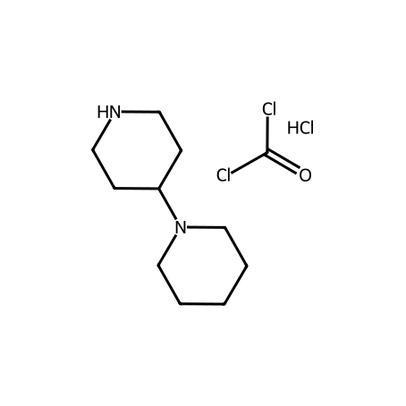 C1CCN(C2CCNCC2)CC1.Cl.O=C(Cl)Cl